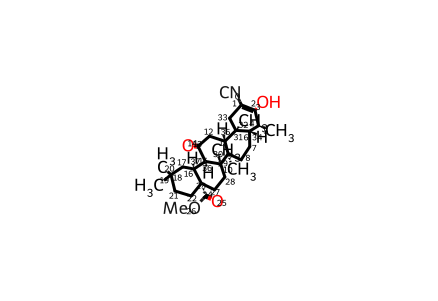 [C-]#[N+]C1=C(O)[C@@H](C)[C@@H]2CC[C@]3(C)[C@H](CC(=O)[C@@H]4[C@@H]5CC(C)(C)CC[C@]5(C(=O)OC)CC[C@]43C)[C@@]2(C)C1